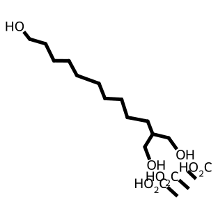 CC(=O)O.CC(=O)O.CC(=O)O.OCCCCCCCCCCC(CO)CO